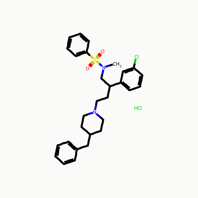 CN(CC(CCN1CCC(Cc2ccccc2)CC1)c1cccc(Cl)c1)S(=O)(=O)c1ccccc1.Cl